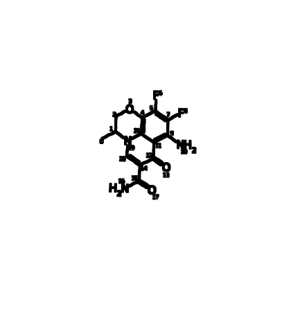 CC1COc2c(F)c(F)c(N)c3c(=O)c(C(N)=O)cn1c23